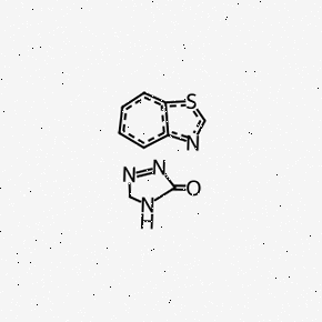 O=C1N=NCN1.c1ccc2scnc2c1